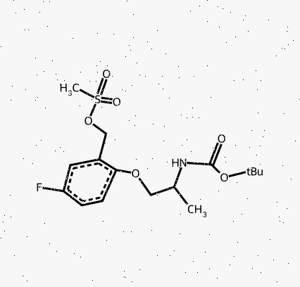 CC(COc1ccc(F)cc1COS(C)(=O)=O)NC(=O)OC(C)(C)C